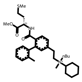 CCCC[N+](C)(CCc1ccc(C(=O)N[C@@H](CCSC)C(=O)OC)c(-c2ccccc2C)c1)C1CCCCC1